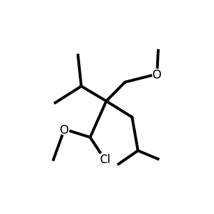 COCC(CC(C)C)(C(C)C)C(Cl)OC